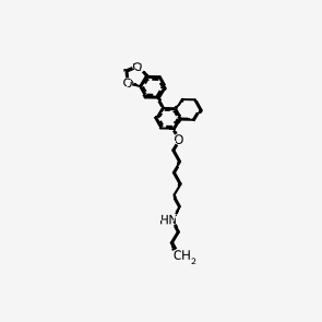 C=CCNCCCCCCOc1ccc(-c2ccc3c(c2)OCO3)c2c1CCCC2